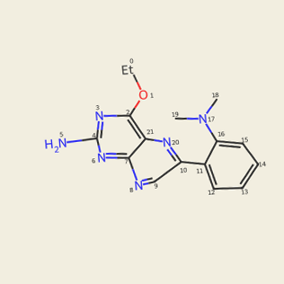 CCOc1nc(N)nc2ncc(-c3ccccc3N(C)C)nc12